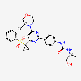 CC[C@H]1COCCN1c1cc(C2(S(=O)(=O)c3ccccc3)CC2)nc(-c2ccc(NC(=O)N[C@@H](C)CO)cc2)n1